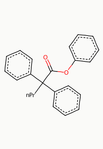 CCCC(C(=O)Oc1ccccc1)(c1ccccc1)c1ccccc1